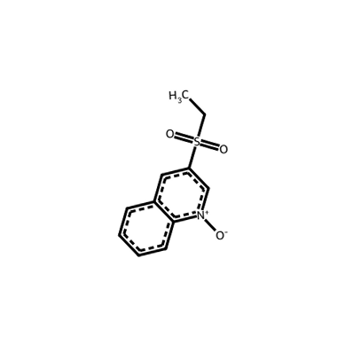 CCS(=O)(=O)c1cc2ccccc2[n+]([O-])c1